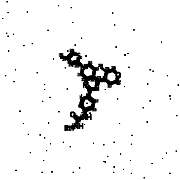 CCNC(=O)Nc1ccc(-c2nc3c(c(N4CCOC[C@@H]4C)n2)CCN(c2nc(C)cs2)C3)cc1